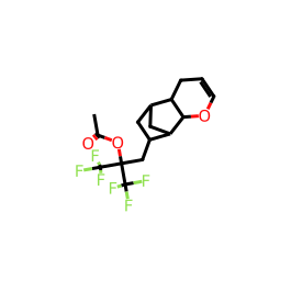 CC(=O)OC(CC1CC2CC1C1OC=CCC21)(C(F)(F)F)C(F)(F)F